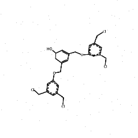 OC1C=C(COc2cc(CCl)cc(CCl)c2)C=C(COc2cc(CCl)cc(CCl)c2)C1